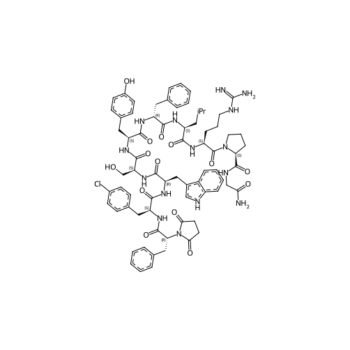 CC(C)C[C@H](NC(=O)[C@@H](Cc1ccccc1)NC(=O)[C@H](Cc1ccc(O)cc1)NC(=O)[C@H](CO)NC(=O)[C@@H](Cc1c[nH]c2ccccc12)NC(=O)[C@H](Cc1ccc(Cl)cc1)NC(=O)[C@@H](Cc1ccccc1)N1C(=O)CCC1=O)C(=O)N[C@@H](CCCNC(=N)N)C(=O)N1CCC[C@H]1C(=O)NCC(N)=O